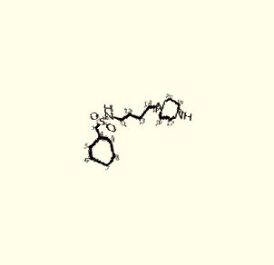 O=S(=O)(CC1CCCCC1)NCCCCN1CCNCC1